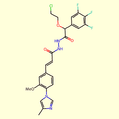 COc1cc(/C=C/C(=O)NNC(=O)C(OCCCl)c2cc(F)c(F)c(F)c2)ccc1-n1cnc(C)c1